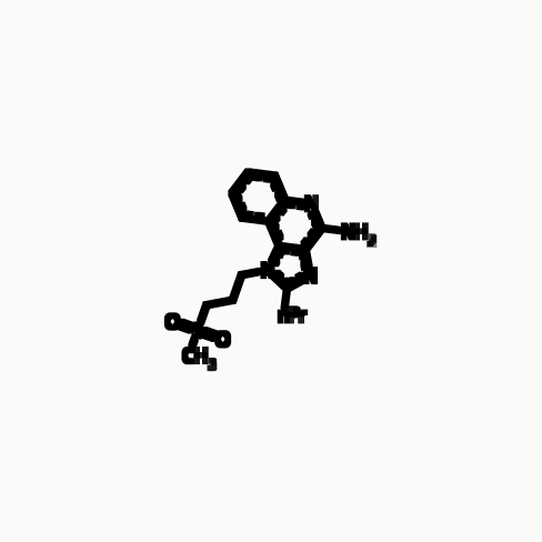 CCCc1nc2c(N)nc3ccccc3c2n1CCCS(C)(=O)=O